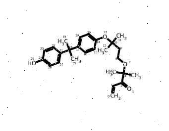 C=CC(=O)C(C)(C)OCCC(C)(C)Oc1ccc(C(C)(C)c2ccc(O)cc2)cc1